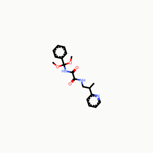 COC(NC(=O)C(=O)NCC(C)c1ccccn1)(OC)c1ccccc1